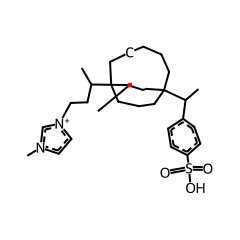 CC(c1ccc(S(=O)(=O)O)cc1)C12CCCCCC(C(C)CC[n+]3ccn(C)c3)(CCC1)C(C)CCC2